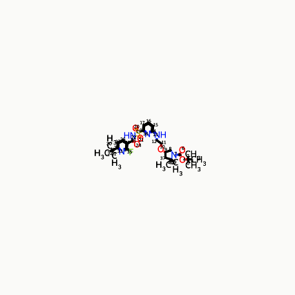 CC(C)(C)OC(=O)N1CC(OCCNc2cccc(S(=O)(=O)NC(=O)c3ccc(C(C)(C)C)nc3F)n2)CC1(C)C